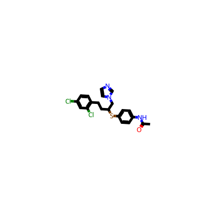 CC(=O)Nc1ccc(SC(CCc2ccc(Cl)cc2Cl)Cn2ccnc2)cc1